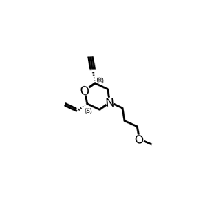 C#C[C@@H]1CN(CCCOC)C[C@H](C=C)O1